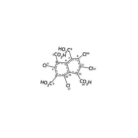 O=C(O)c1c(Cl)c(C(=O)O)c2c(C(=O)O)c(Cl)c(Cl)c(C(=O)O)c2c1Cl